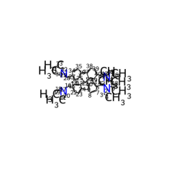 CCN(CC)Cc1ccc2c(c1)C1(c3cc(CN(CC)CC)ccc3-2)c2cc(CN(CC)CC)ccc2-c2ccc(C(C)(C)N(CC)CC)cc21